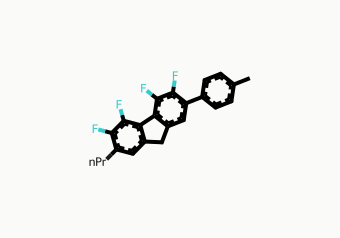 CCCc1cc2c(c(F)c1F)-c1c(cc(-c3ccc(C)cc3)c(F)c1F)C2